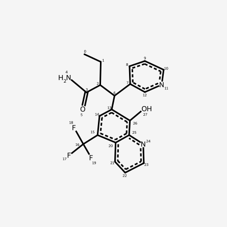 CCC(C(N)=O)C(c1cccnc1)c1cc(C(F)(F)F)c2cccnc2c1O